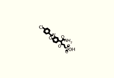 NC(=O)C(C(=O)CCS(=O)(=O)O)c1ccc2oc(-c3ccc(Cl)cc3)nc2c1